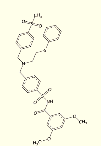 COc1cc(OC)cc(C(=O)NS(=O)(=O)c2ccc(CN(CCSc3ccccc3)Cc3ccc(S(C)(=O)=O)cc3)cc2)c1